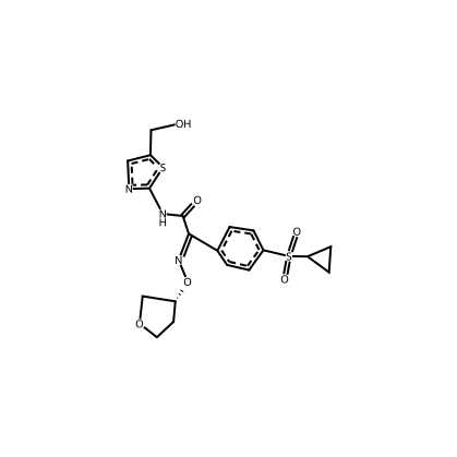 O=C(Nc1ncc(CO)s1)/C(=N/O[C@@H]1CCOC1)c1ccc(S(=O)(=O)C2CC2)cc1